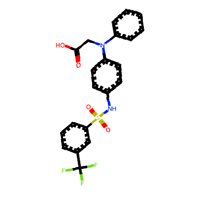 O=C(O)CN(c1ccccc1)c1ccc(NS(=O)(=O)c2cccc(C(F)(F)F)c2)cc1